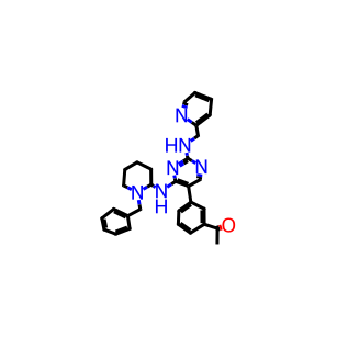 CC(=O)c1cccc(-c2cnc(NCc3ccccn3)nc2NC2CCCCN2Cc2ccccc2)c1